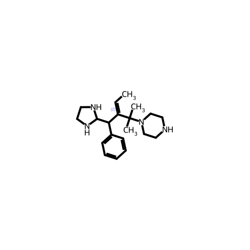 C/C=C(/C(c1ccccc1)C1NCCN1)C(C)(C)N1CCNCC1